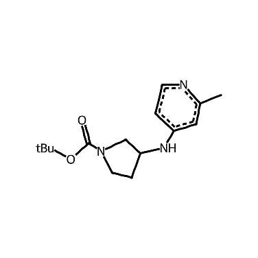 Cc1cc(NC2CCN(C(=O)OC(C)(C)C)C2)ccn1